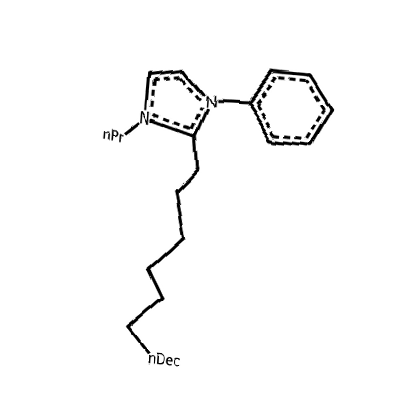 CCCCCCCCCCCCCCCCc1n(-c2ccccc2)cc[n+]1CCC